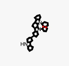 c1ccc(-n2c3ccccc3c3ccc4c5cc(-c6ccc7[nH]c8ccccc8c7c6)ccc5n(-c5ccccc5)c4c32)cc1